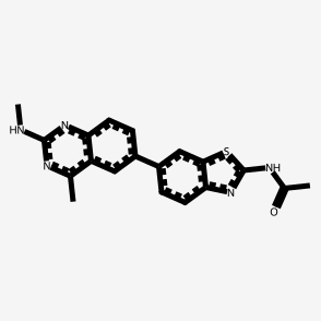 CNc1nc(C)c2cc(-c3ccc4nc(NC(C)=O)sc4c3)ccc2n1